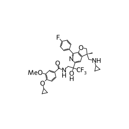 COc1cc(C(=O)NCC(O)(c2cc3c(c(-c4ccc(F)cc4)n2)OC[C@]3(C)CNC2CC2)C(F)(F)F)ccc1OC1CC1